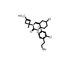 CCC1CC[C@]2(c3ccc(CCC(C)(C)C)c(Cl)c3)NC(=O)N(C3(C)C=C(C(=O)O)C3)C=C2C1